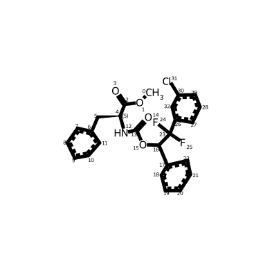 COC(=O)[C@H](Cc1ccccc1)NC(=O)OC(c1ccccc1)C(F)(F)c1cccc(Cl)c1